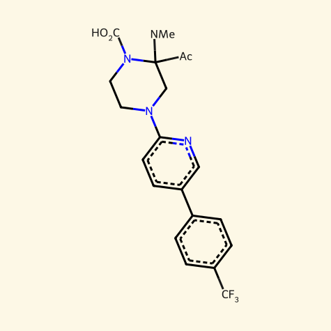 CNC1(C(C)=O)CN(c2ccc(-c3ccc(C(F)(F)F)cc3)cn2)CCN1C(=O)O